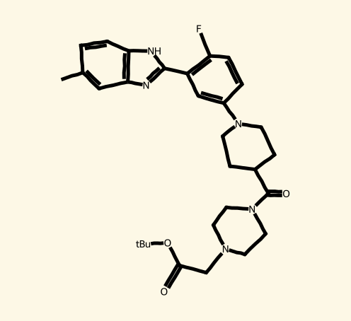 Cc1ccc2[nH]c(-c3cc(N4CCC(C(=O)N5CCN(CC(=O)OC(C)(C)C)CC5)CC4)ccc3F)nc2c1